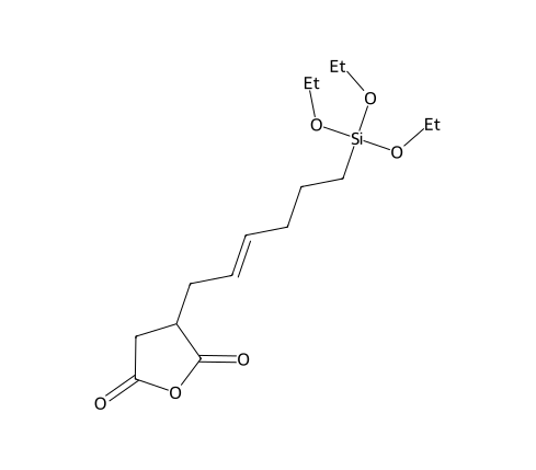 CCO[Si](CCC/C=C/CC1CC(=O)OC1=O)(OCC)OCC